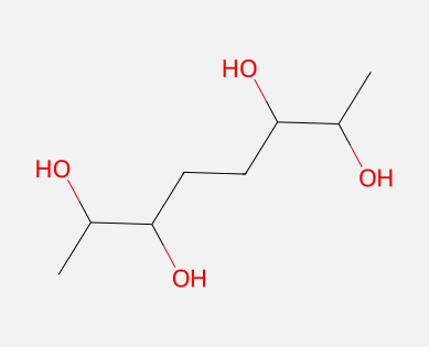 CC(O)C(O)CCC(O)C(C)O